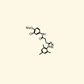 COc1ccc(NC(=O)CSc2nnnn2-c2c(C)cc(C)cc2C)cc1Cl